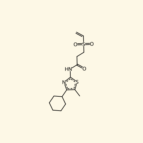 C=CS(=O)(=O)CCC(=O)Nc1nc(C2CCCCC2)c(C)s1